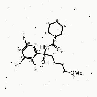 COCCCC[C@@](O)(NC(=O)N1CCCCC1)c1cc(F)cc(F)c1F